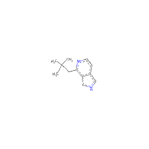 CC(C)(C)Cc1nccc2c[nH]cc12